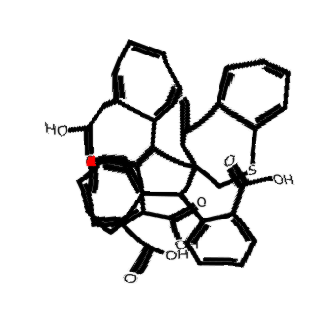 O=C(O)c1ccccc1C(c1ccccc1C(=O)O)C1(C(c2ccccc2C(=O)O)c2ccccc2C(=O)O)CSc2ccccc2C1=O